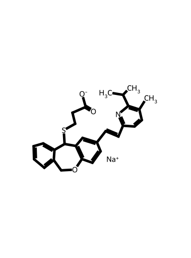 Cc1ccc(C=Cc2ccc3c(c2)C(SCCC(=O)[O-])c2ccccc2CO3)nc1C(C)C.[Na+]